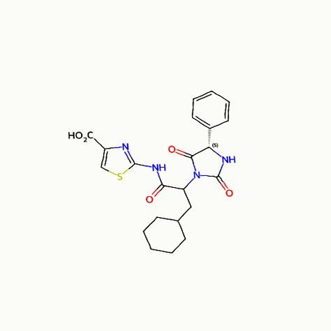 O=C(O)c1csc(NC(=O)C(CC2CCCCC2)N2C(=O)N[C@@H](c3ccccc3)C2=O)n1